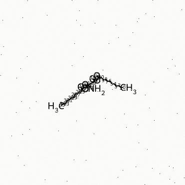 CCCCCCCCCCCC(=O)OC(=O)CC[C@H](N)C(=O)OC(=O)CCCCCCCCCCC